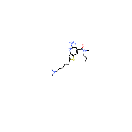 CCCN(C)C(=O)C1=Cc2sc(CCCCCN(C)C)cc2N=C(N)C1